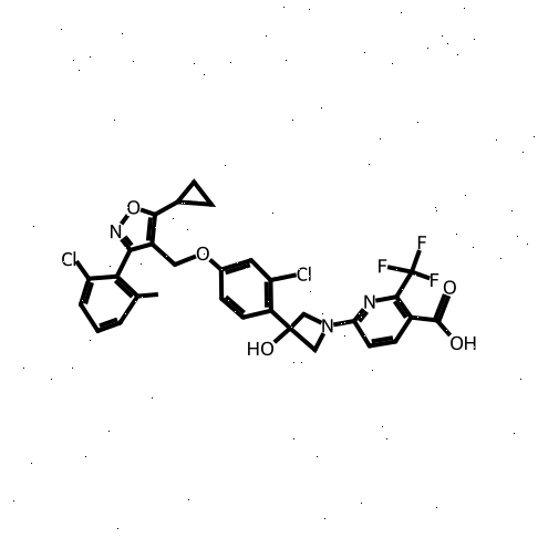 Cc1cccc(Cl)c1-c1noc(C2CC2)c1COc1ccc(C2(O)CN(c3ccc(C(=O)O)c(C(F)(F)F)n3)C2)c(Cl)c1